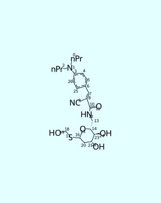 CCCN(CCC)c1ccc(/C=C(\C#N)C(=O)NC[C@H]2OC(SCO)C[C@@H](O)[C@@H]2O)cc1